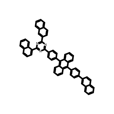 c1ccc2cc(-c3ccc(-c4c5ccccc5c(-c5ccc(-c6nc(-c7ccc8ccccc8c7)nc(-c7cccc8ccccc78)n6)cc5)c5ccccc45)cc3)ccc2c1